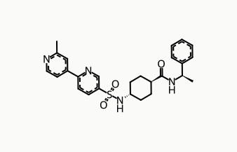 Cc1cc(-c2ccc(S(=O)(=O)N[C@H]3CC[C@H](C(=O)N[C@H](C)c4ccccc4)CC3)cn2)ccn1